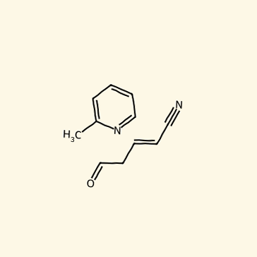 Cc1ccccn1.N#CC=CCC=O